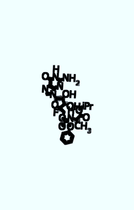 CC(C)OC(=O)[C@H](C)NP(=O)(OC[C@@]1(F)O[C@@H](n2cnc3c(=O)[nH]c(N)nc32)[C@H](O)[C@@H]1O)Oc1ccccc1